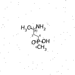 C[C@@H](N)CCP(C)(=O)O